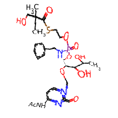 CC(=O)Nc1ccn(CO[C@H](COP(=O)(NCc2ccccc2)OCCSC(=O)C(C)(C)CO)C(O)C(C)O)c(=O)n1